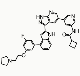 O=C(Nc1cncc(-c2cnc3[nH]nc(-c4cc5c(-c6cc(F)cc(OCCN7CCCC7)c6)cccc5[nH]4)c3c2)c1)C1CCC1